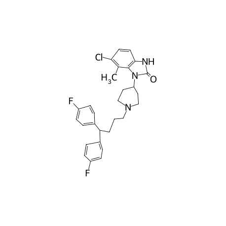 Cc1c(Cl)ccc2[nH]c(=O)n(C3CCN(CCCC(c4ccc(F)cc4)c4ccc(F)cc4)CC3)c12